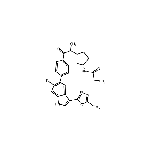 CCC(=O)N[C@H]1CCC(C(C)C(=O)c2ccc(-c3cc4c(-c5nnc(C)o5)c[nH]c4cc3F)cc2)C1